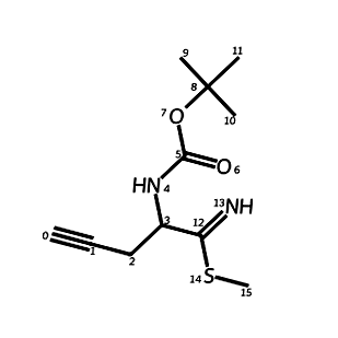 C#CCC(NC(=O)OC(C)(C)C)C(=N)SC